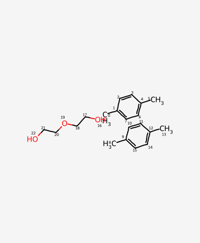 Cc1ccc(C)cc1.Cc1ccc(C)cc1.OCCOCCO